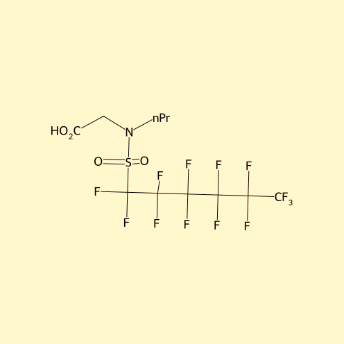 CCCN(CC(=O)O)S(=O)(=O)C(F)(F)C(F)(F)C(F)(F)C(F)(F)C(F)(F)C(F)(F)F